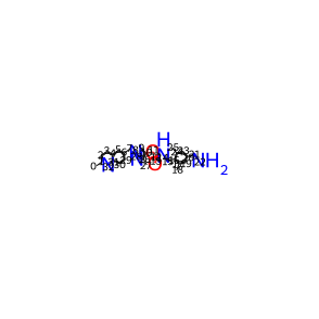 Cc1ccc2cc(Cn3cc(OC(=O)NCc4c(C)cc(CN)cc4C)c(C)n3)ccc2n1